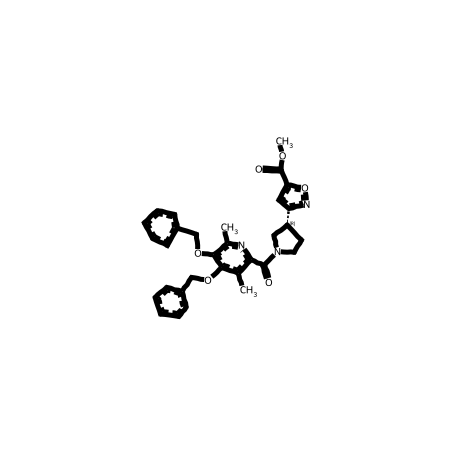 COC(=O)c1cc([C@@H]2CCN(C(=O)c3nc(C)c(OCc4ccccc4)c(OCc4ccccc4)c3C)C2)no1